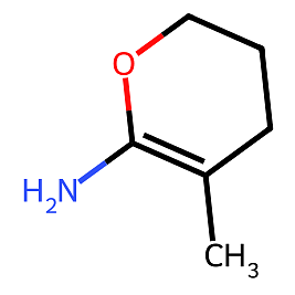 CC1=C(N)OCCC1